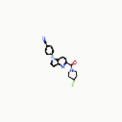 N#Cc1ccc(-n2ccc3nc(C(=O)N4CCC(F)CC4)ccc32)cc1